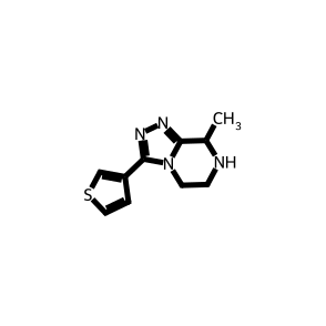 CC1NCCn2c(-c3ccsc3)nnc21